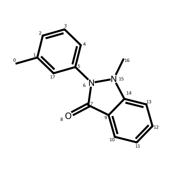 Cc1cccc(-n2c(=O)c3ccccc3n2C)c1